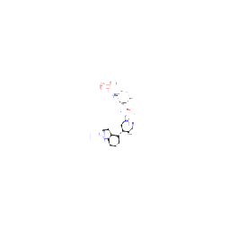 CC(C)(C)OC(=O)N[C@@H]1CCC[C@H](C(=O)Nc2cc(-c3cccc4[nH]ccc34)c(F)cn2)C1